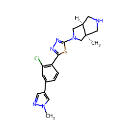 Cn1cc(-c2ccc(-c3nnc(N4C[C@H]5CNC[C@@]5(C)C4)s3)c(Cl)c2)cn1